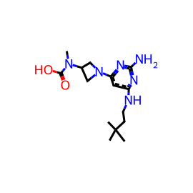 CN(C(=O)O)C1CN(c2cc(NCCC(C)(C)C)nc(N)n2)C1